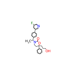 C[C@@H](c1ccc(-c2cncc(F)c2)cc1)N1CCC(CCCO)(c2ccccc2)OC1=O